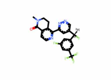 [2H][C@@](F)(c1cc(F)cc(C(F)(F)F)c1)c1cnnc(-c2nccc3c2CCN(C)C3=O)c1